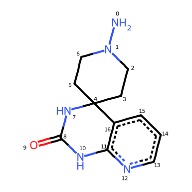 NN1CCC2(CC1)NC(=O)Nc1ncccc12